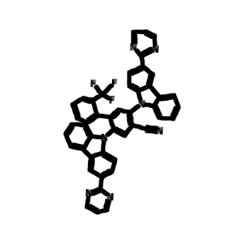 N#Cc1cc(-n2c3ccccc3c3cc(-c4ncccn4)ccc32)c(-c2ccccc2C(F)(F)F)cc1-n1c2ccccc2c2cc(-c3ncccn3)ccc21